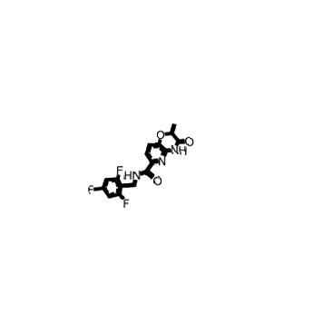 CC1Oc2ccc(C(=O)NCc3c(F)cc(F)cc3F)nc2NC1=O